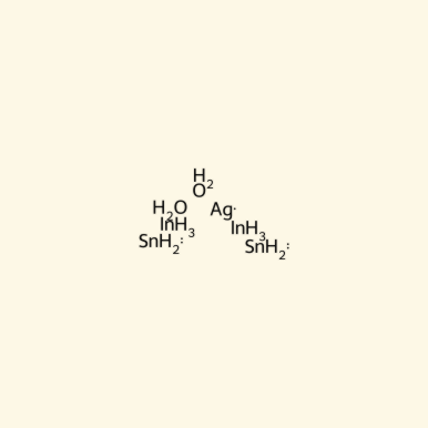 O.O.[Ag].[InH3].[InH3].[SnH2].[SnH2]